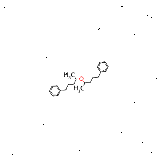 CC(CCCc1ccccc1)OC(C)CCCc1ccccc1